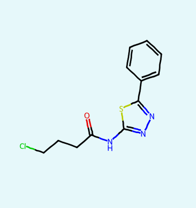 O=C(CCCCl)Nc1nnc(-c2ccccc2)s1